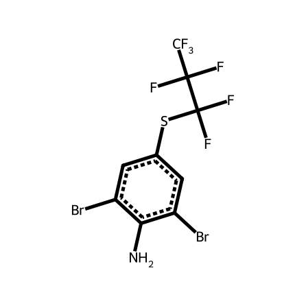 Nc1c(Br)cc(SC(F)(F)C(F)(F)C(F)(F)F)cc1Br